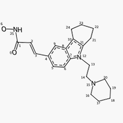 O=C(C=Cc1ccc2c(c1)c1c(n2CCN2CCCCC2)CCCC1)NO